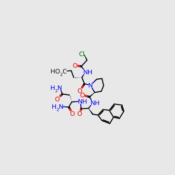 NC(=O)C[C@H](NC(=O)[C@H](Cc1ccc2ccccc2c1)NC(=O)[C@@H]1CCCCN1C(=O)[C@H](CCC(=O)O)NC(=O)CCl)C(N)=O